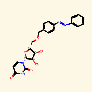 O=c1ccn([C@@H]2O[C@H](COCc3ccc(N=Nc4ccccc4)cc3)[C@@H](O)[C@H]2O)c(=O)[nH]1